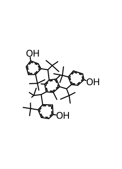 Cc1c(C(c2cc(O)ccc2C(C)(C)C)C(C)(C)C)c(C)c(C(c2cc(O)ccc2C(C)(C)C)C(C)(C)C)c(C)c1C(c1cc(O)ccc1C(C)(C)C)C(C)(C)C